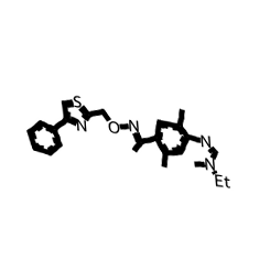 CCN(C)/C=N\c1cc(C)c(/C(C)=N/OCc2nc(-c3ccccc3)cs2)cc1C